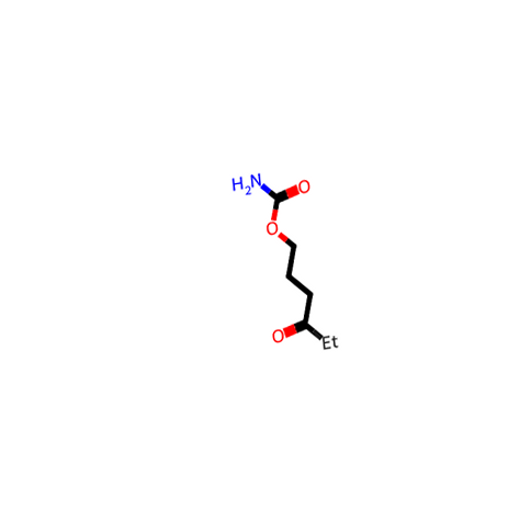 CCC(=O)CCCOC(N)=O